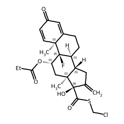 C=C1C[C@H]2[C@@H]3CCC4=CC(=O)C=C[C@]4(C)[C@@]3(F)[C@@H](OC(=O)CC)C[C@]2(C)[C@@]1(O)C(=O)SCCl